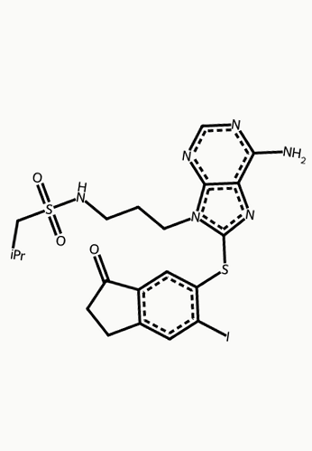 CC(C)CS(=O)(=O)NCCCn1c(Sc2cc3c(cc2I)CCC3=O)nc2c(N)ncnc21